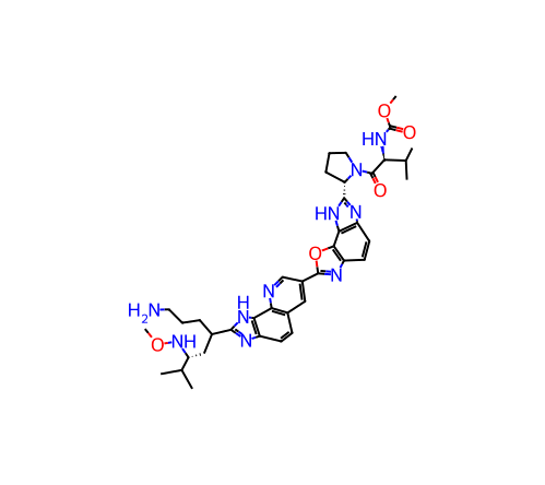 CON[C@H](CC(CCCN)c1nc2ccc3cc(-c4nc5ccc6nc([C@@H]7CCCN7C(=O)[C@@H](NC(=O)OC)C(C)C)[nH]c6c5o4)cnc3c2[nH]1)C(C)C